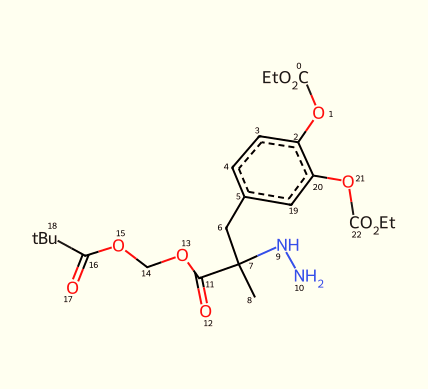 CCOC(=O)Oc1ccc(CC(C)(NN)C(=O)OCOC(=O)C(C)(C)C)cc1OC(=O)OCC